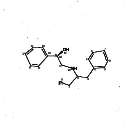 CC(C)CC(Cc1ccccc1)NC[C@H](O)c1ccccc1